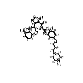 O=C(Nc1c(Cl)cccc1Cl)c1nc[nH]c1C(=O)Nc1nc2cc(OCCCN3CCNCC3)ccc2[nH]1